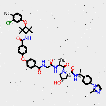 Cc1nccn1-c1ccc([C@H](C)NC(=O)[C@@H]2C[C@@H](O)CN2C(=O)C(NC(=O)CNC(=O)c2ccc(Oc3ccc(C(=O)N[C@H]4C(C)(C)[C@H](Oc5ccc(C#N)c(Cl)c5)C4(C)C)cc3)cc2)C(C)(C)C)cc1